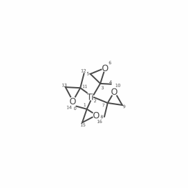 C[C]1([Ti]([C]2(C)CO2)([C]2(C)CO2)[C]2(C)CO2)CO1